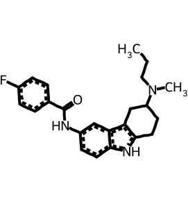 CCCN(C)C1CCc2[nH]c3ccc(NC(=O)c4ccc(F)cc4)cc3c2C1